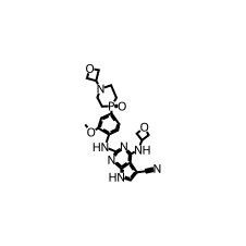 COc1cc(P2(=O)CCN(C3COC3)CC2)ccc1Nc1nc(NC2COC2)c2c(C#N)c[nH]c2n1